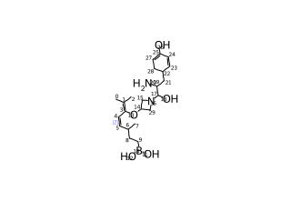 CC(C)=C(/C=C\C(C)CCB(O)O)OC1CN(C(O)C(N)CC2C=CC(O)=CC2)C1